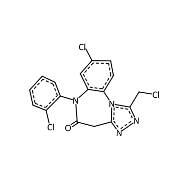 O=C1Cc2nnc(CCl)n2-c2ccc(Cl)cc2N1c1ccccc1Cl